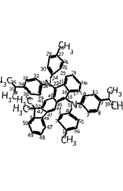 Cc1ccc(N(c2ccc(C(C)C)cc2)c2c3ccccc3c(N(c3ccc(C)cc3)c3ccc(C(C)C)cc3)c3cc4c(cc23)-c2ccccc2C4(C)C)cc1